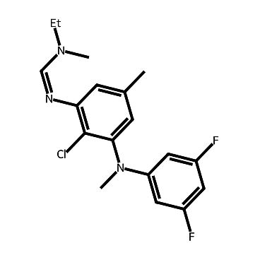 CCN(C)/C=N\c1cc(C)cc(N(C)c2cc(F)cc(F)c2)c1Cl